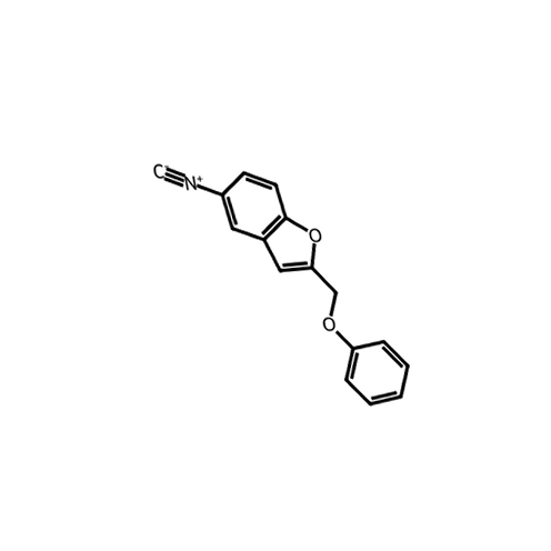 [C-]#[N+]c1ccc2oc(COc3ccccc3)cc2c1